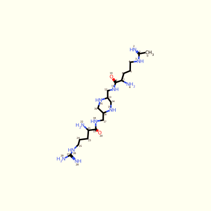 CC(=N)NCCCC(N)C(=O)NCC1CNC(CNC(=O)C(N)CCCNC(=N)N)CN1